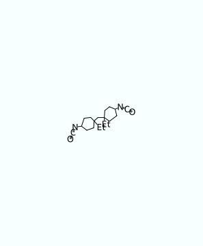 CCC1(CC2(CC)CCC(N=C=O)CC2)CCC(N=C=O)CC1